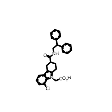 O=C(O)Cn1c2c(c3cccc(Cl)c31)CC(C(=O)NCC(c1ccccc1)c1ccccc1)CC2